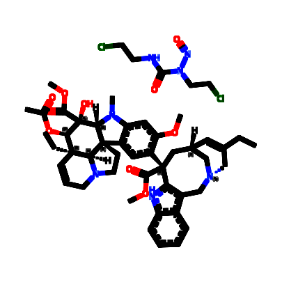 CCC1=C[C@@H]2C[N@](C1)Cc1c([nH]c3ccccc13)[C@@](C(=O)OC)(c1cc3c(cc1OC)N(C)[C@H]1[C@@](O)(C(=O)OC)[C@H](OC(C)=O)[C@]4(CC)C=CCN5CC[C@]31[C@@H]54)C2.O=NN(CCCl)C(=O)NCCCl